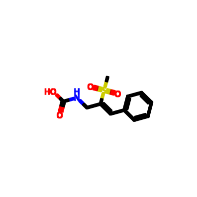 CS(=O)(=O)C(=Cc1ccccc1)CNC(=O)O